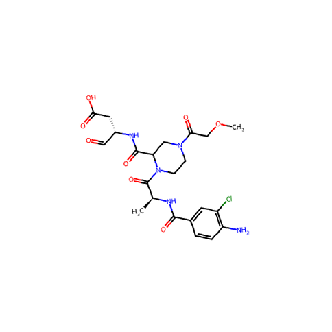 COCC(=O)N1CCN(C(=O)[C@H](C)NC(=O)c2ccc(N)c(Cl)c2)C(C(=O)N[C@H](C=O)CC(=O)O)C1